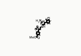 COC(=O)c1ccc(C(CCNc2cc(-c3cccc(Cl)c3C)nc(N)n2)[SH](=O)=O)cc1